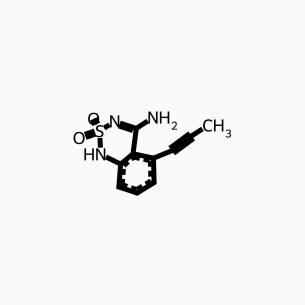 CC#Cc1cccc2c1C(N)=NS(=O)(=O)N2